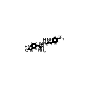 Nc1nc(NC[C@@H](N)Cc2ccc(C(F)(F)F)cc2)sc1-c1ccc2c(c1)CC(=O)N2